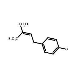 CCOC(=O)C(=CCc1ccc(F)cc1)C(=O)OCC